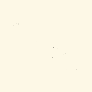 C[C@H](CC(=O)O)C1CCC2C3CCC4C[C@H](OC(=O)[C@@H](N)CCC(=O)O)CC[C@]4(C)C3CC[C@@]21C